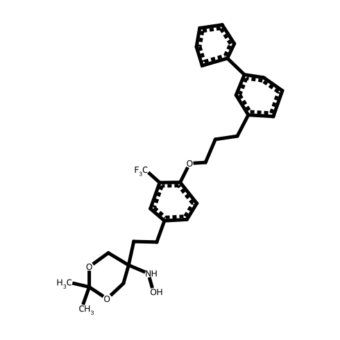 CC1(C)OCC(CCc2ccc(OCCCc3cccc(-c4ccccc4)c3)c(C(F)(F)F)c2)(NO)CO1